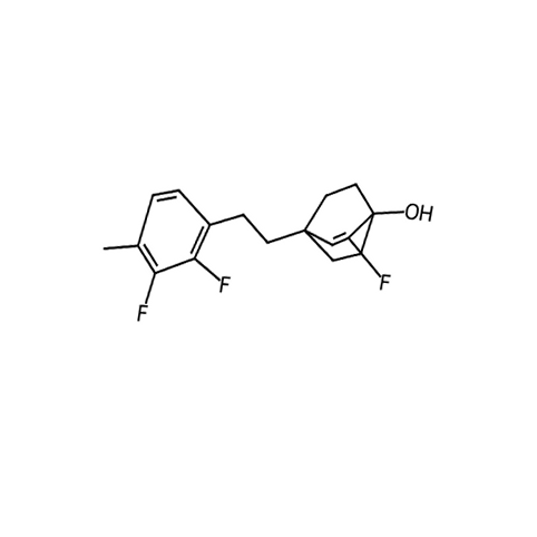 Cc1ccc(CCC23C=C(F)C(O)(CC2)CC3)c(F)c1F